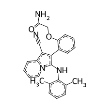 Cc1cccc(C)c1Nc1c(-c2ccccc2OCC(N)=O)c(C#N)c2ccccn12